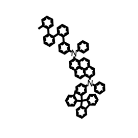 Cc1ccccc1-c1ccccc1-c1ccccc1-c1cccc(N(c2ccccc2)c2ccc3ccc4c(N(c5ccccc5)c5cccc(C6(c7ccccc7C)c7ccccc7-c7ccccc76)c5)ccc5ccc2c3c54)c1